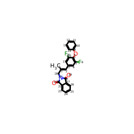 CC(=Cc1cc(F)c(Oc2ccccc2)c(F)c1)CN1C(=O)c2ccccc2C1=O